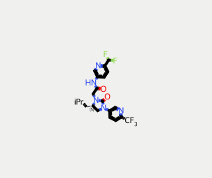 CC(C)C[C@H]1CN(c2ccc(C(F)(F)F)nc2)C(=O)N1CC(=O)Nc1ccc(C(F)F)nc1